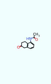 CC(=O)Nc1cccc2c1CCC(=O)C2